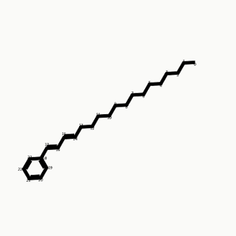 CCCCCCCCCCCCCC/C=C/C=C/c1ccccc1